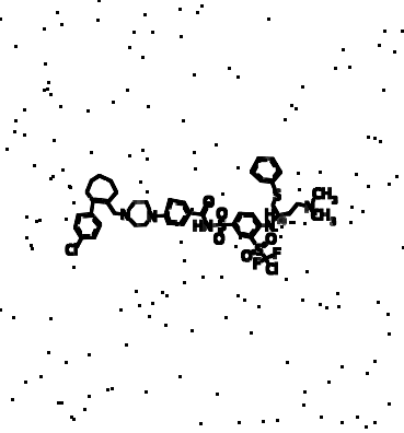 CN(C)CC[C@H](CSc1ccccc1)Nc1ccc(S(=O)(=O)NC(=O)c2ccc(N3CCN(CC4=C(c5ccc(Cl)cc5)CCCCC4)CC3)cc2)cc1S(=O)(=O)C(F)(F)Cl